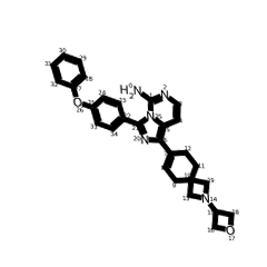 Nc1nccc2c(C3=CCC4(CC3)CN(C3COC3)C4)nc(-c3ccc(Oc4ccccc4)cc3)n12